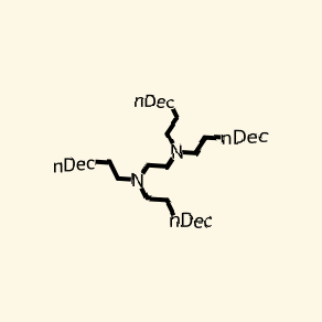 CCCCCCCCCCCCN(CCCCCCCCCCCC)CCN(CCCCCCCCCCCC)CCCCCCCCCCCC